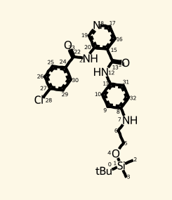 CC(C)(C)[Si](C)(C)OCCNc1ccc(NC(=O)c2ccncc2NC(=O)c2ccc(Cl)cc2)cc1